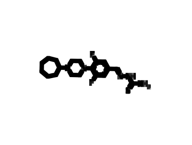 NC(=S)NN=Cc1cc(F)c(N2CCN(C3CCCCCC3)CC2)c(F)c1